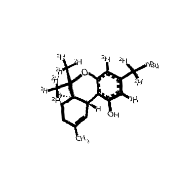 [2H]c1c(O)c2c(c([2H])c1C([2H])([2H])CCCC)OC(C([2H])([2H])[2H])(C([2H])([2H])[2H])[C@@H]1CCC(C)=C[C@@H]21